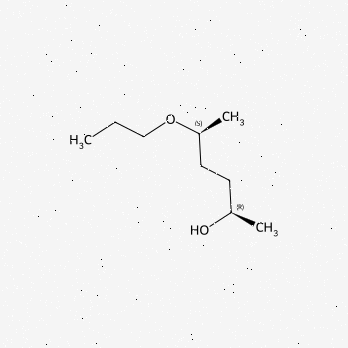 CCCO[C@@H](C)CC[C@@H](C)O